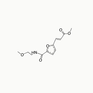 COCCNC(=O)c1ccc(C=CC(=O)OC)o1